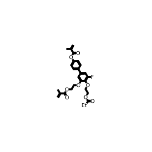 C=C(C)C(=O)OCCOc1cc(-c2ccc(OC(=O)C(=C)C)cc2)cc(F)c1OCCOC(=O)CC